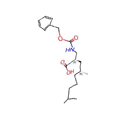 CC(C)CCC[C@@H](C)C[C@H](CNC(=O)OCc1ccccc1)C(=O)O